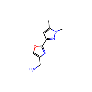 Cc1cc(-c2nc(CN)co2)nn1C